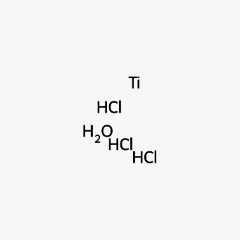 Cl.Cl.Cl.O.[Ti]